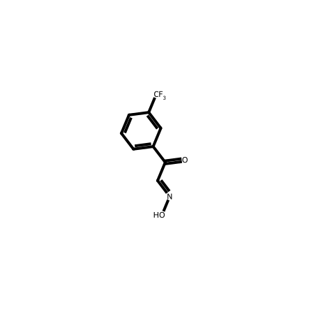 O=C(C=NO)c1cccc(C(F)(F)F)c1